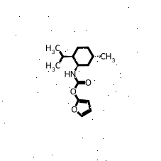 CC(C)[C@H]1CC[C@H](C)C[C@H]1NC(=O)Oc1ccco1